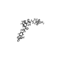 CS(=O)(=O)N1CCC(CNC(=O)c2cc(C(=O)NCc3ccc4oc(=O)[nH]c4c3)nc3ccnn23)CC1